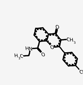 CCNC(=O)c1cccc2c(=O)c(C)c(-c3ccc(Cl)cc3)oc12